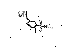 Cc1ccc(N=O)cc1S(N)(=O)=O